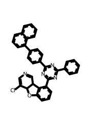 ClC1=CN=CC2c3c(cccc3-c3nc(-c4ccccc4)nc(-c4ccc(-c5cccc6ccccc56)cc4)n3)OC12